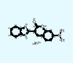 CCN(CC)c1ccc2cc(-c3nc4ccccc4s3)c(=O)oc2c1.[In+3]